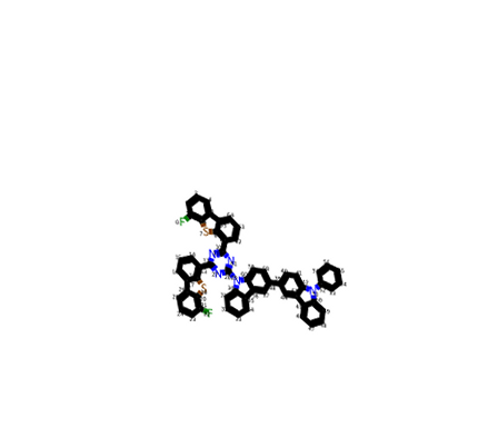 Fc1cccc2c1sc1c(-c3nc(-c4cccc5c4sc4c(F)cccc45)nc(-n4c5ccccc5c5cc(-c6ccc7c(c6)c6ccccc6n7-c6ccccc6)ccc54)n3)cccc12